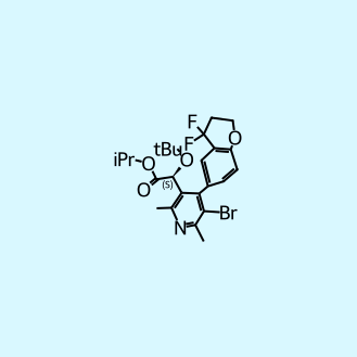 Cc1nc(C)c([C@H](OC(C)(C)C)C(=O)OC(C)C)c(-c2ccc3c(c2)C(F)(F)CCO3)c1Br